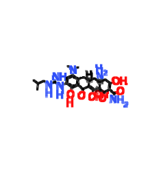 CC(C)CNC(=N)Nc1cc(N(C)C)c2c(c1O)C(=O)C1=C(O)[C@]3(O)C(=O)C(C(N)=O)=C(O)C[C@]3(N)C[C@@H]1C2